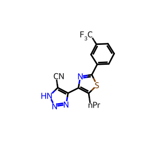 CCCc1sc(-c2cccc(C(F)(F)F)c2)nc1-c1nn[nH]c1C#N